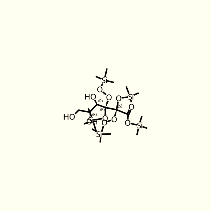 C[Si](C)(C)OO[C@@](O[Si](C)(C)C)(C(=O)O[Si](C)(C)C)[C@](OO[Si](C)(C)C)(O[Si](C)(C)C)[C@H](O)[C@H](O)CO